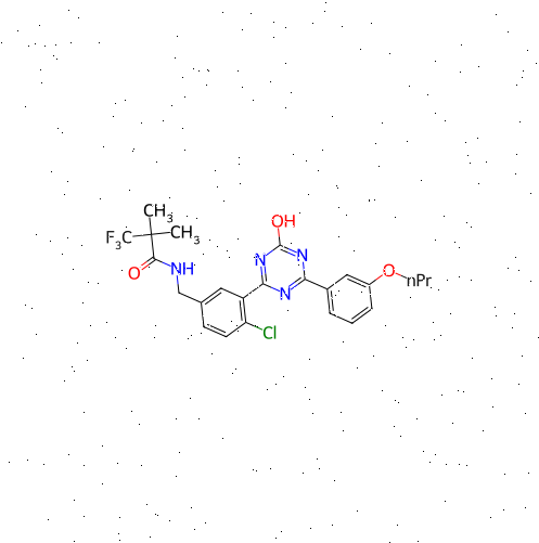 CCCOc1cccc(-c2nc(O)nc(-c3cc(CNC(=O)C(C)(C)C(F)(F)F)ccc3Cl)n2)c1